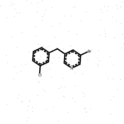 Clc1cccc([CH]c2cncc(Br)c2)c1